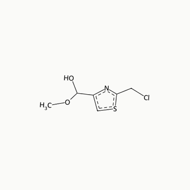 COC(O)c1csc(CCl)n1